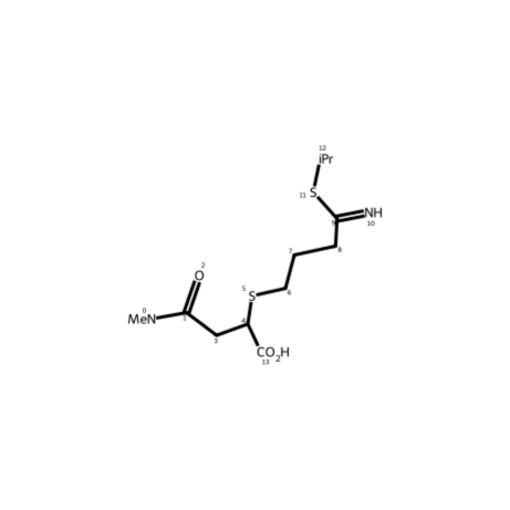 CNC(=O)CC(SCCCC(=N)SC(C)C)C(=O)O